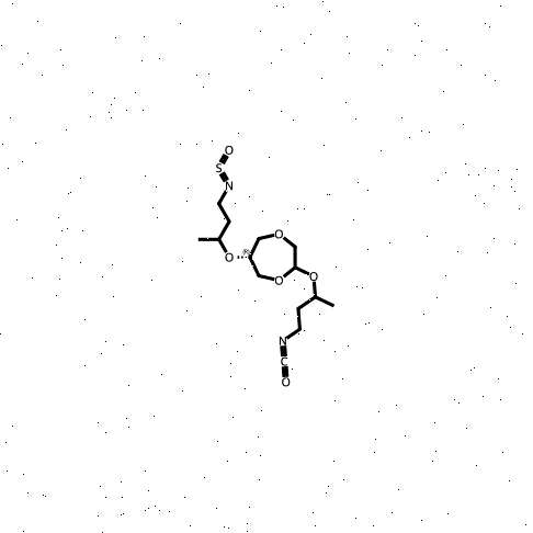 CC(CCN=C=O)OC1COC[C@@H](OC(C)CCN=S=O)CO1